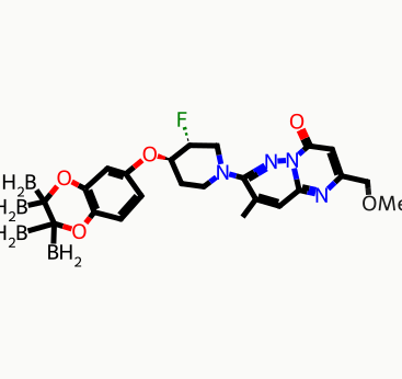 BC1(B)Oc2ccc(O[C@@H]3CCN(c4nn5c(=O)cc(COC)nc5cc4C)C[C@H]3F)cc2OC1(B)B